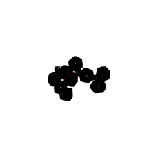 c1ccc(N(c2ccc(-c3cccc4ccccc34)cc2)c2ccc(-n3c4ccccc4c4ccccc43)cc2)c(-c2ccc3c(c2)sc2ccccc23)c1